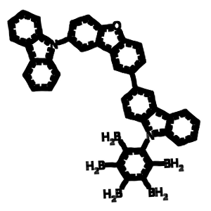 Bc1c(B)c(B)c(-n2c3ccccc3c3cc(-c4ccc5oc6ccc(-n7c8ccccc8c8ccccc87)cc6c5c4)ccc32)c(B)c1B